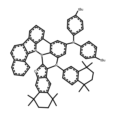 CC(C)(C)c1ccc(N(c2ccc(C(C)(C)C)cc2)c2cc3c4c(c2)N(c2ccc5c(c2)C(C)(C)CCC5(C)C)c2c(oc5cc6c(cc25)C(C)(C)CCC6(C)C)B4n2c4c-3cccc4c3ccc4ccccc4c32)cc1